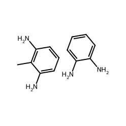 Cc1c(N)cccc1N.Nc1ccccc1N